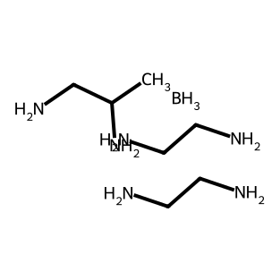 B.CC(N)CN.NCCN.NCCN